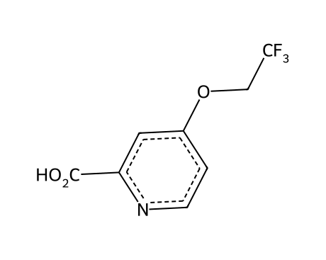 O=C(O)c1cc(OCC(F)(F)F)ccn1